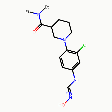 CCN(CC)C(=O)C1CCCN(c2ccc(N/C=N/O)cc2Cl)C1